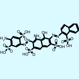 Nc1cc(S(=O)(=O)O)c(/N=N/c2c(S(=O)(=O)O)cc3cc(S(=O)(=O)O)c(/N=N/c4ccc5ccccc5c4S(=O)(=O)O)c(O)c3c2N)cc1S(=O)(=O)O